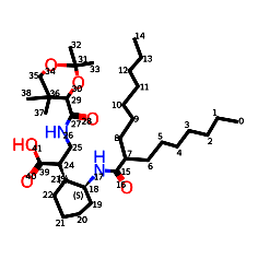 CCCCCCCC(CCCCCCC)C(=O)N[C@H]1CCCC[C@H]1C(CNC(=O)C1OC(C)(C)OCC1(C)C)C(=O)O